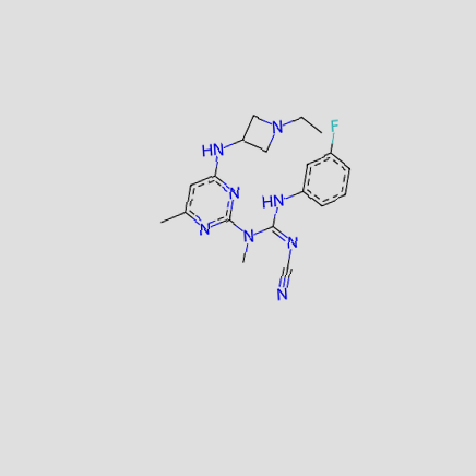 CCN1CC(Nc2cc(C)nc(N(C)/C(=N\C#N)Nc3cccc(F)c3)n2)C1